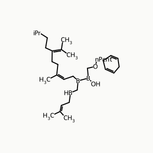 C1=CCC=CC1.CCCCCOCB(O)B(CBCC=C(C)C)CC=C(C)CCC(CCC(C)C)=C(C)C